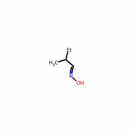 CCC(C)/C=N/O